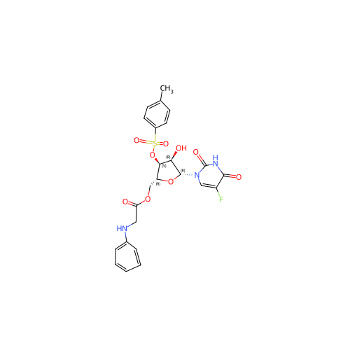 Cc1ccc(S(=O)(=O)O[C@H]2[C@@H](O)[C@H](n3cc(F)c(=O)[nH]c3=O)O[C@@H]2COC(=O)CNc2ccccc2)cc1